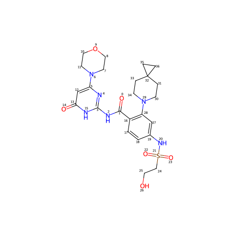 O=C(Nc1nc(N2CCOCC2)cc(=O)[nH]1)c1ccc(NS(=O)(=O)CCO)cc1N1CCC2(CC1)CC2